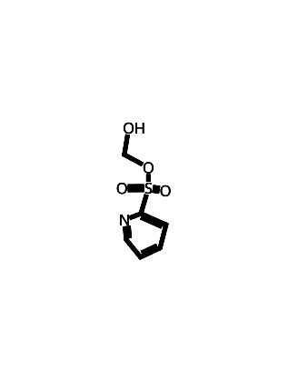 O=S(=O)(OCO)c1ccccn1